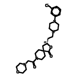 O=C(CN1CCOCC1)N1CCC2(CC1)C[C@H](CCN1CCN(c3cccc(Cl)c3)CC1)OC2=O